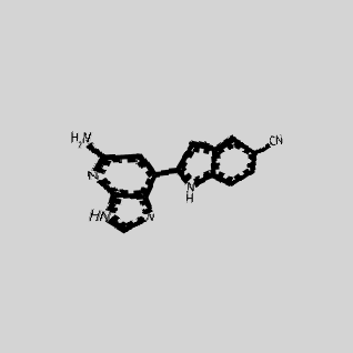 N#Cc1ccc2[nH]c(-c3cc(N)nc4[nH]cnc34)cc2c1